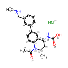 CNCc1cccc(-c2ccc3c(c2)[C@H](NC(=O)O)C[C@H](C)N3C(C)=O)c1.Cl